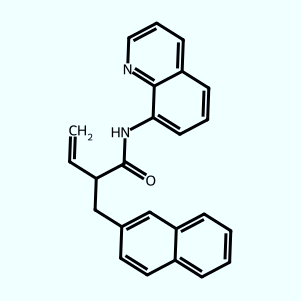 C=CC(Cc1ccc2ccccc2c1)C(=O)Nc1cccc2cccnc12